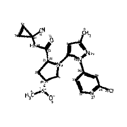 Cc1cc(N2C[C@H]([S+](C)[O-])C[C@H]2C(=O)NC2(C#N)CC2)n(-c2ccnc(Cl)c2)n1